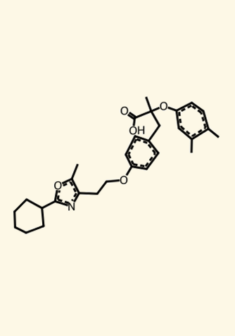 Cc1ccc(OC(C)(Cc2ccc(OCCc3nc(C4CCCCC4)oc3C)cc2)C(=O)O)cc1C